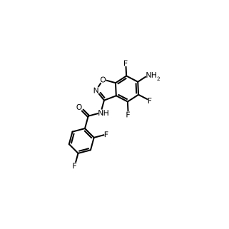 Nc1c(F)c(F)c2c(NC(=O)c3ccc(F)cc3F)noc2c1F